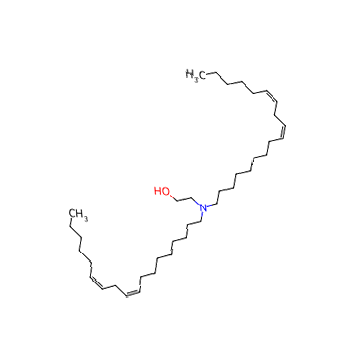 CCCCC/C=C\C/C=C\CCCCCCCCN(CCO)CCCCCCCC/C=C\C/C=C\CCCCC